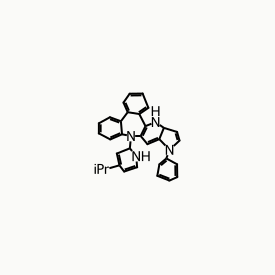 CC(C)C1=CC(N2C3=C(NC4C=CN(c5ccccc5)C4=C3)c3ccccc3-c3ccccc32)NC=C1